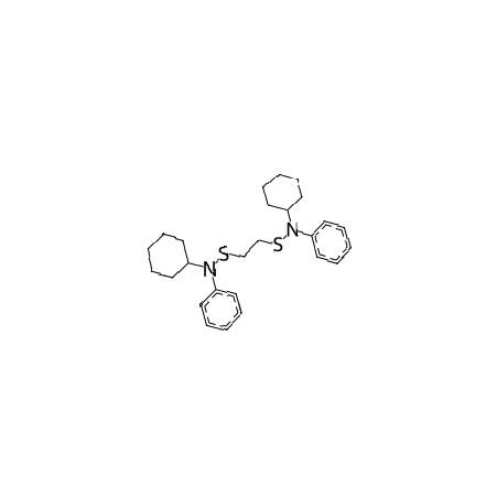 c1ccc(N(SCCSN(c2ccccc2)C2CCCCC2)C2CCCCC2)cc1